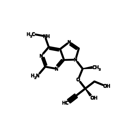 C#C[C@@](O)(CO)O[C@H](C)n1cnc2c(NC)nc(N)nc21